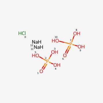 Cl.O=P(O)(O)O.O=P(O)(O)O.[NaH].[NaH]